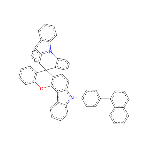 c1ccc2c(c1)Oc1c(ccc3c1c1ccccc1n3-c1ccc(-c3cccc4ccccc34)cc1)C21c2ccccc2-n2c3ccccc3c3cccc1c32